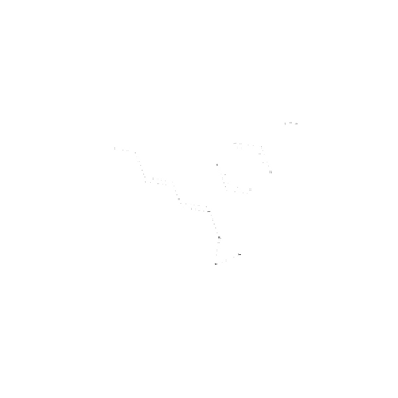 COc1ccc(/C(=C\C=C\CC(=O)O)C2CC2)cc1